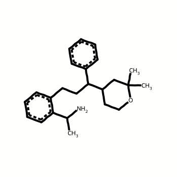 CC(N)c1ccccc1CCC(c1ccccc1)C1CCOC(C)(C)C1